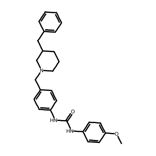 COc1ccc(NC(=O)Nc2ccc(CN3CCCC(Cc4ccccc4)C3)cc2)cc1